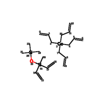 C=C[CH2][Ge]([CH2]C=C)([CH2]C=C)[CH2]C=C.C=C[Si](C)(C=C)O[Si](C)(C)C